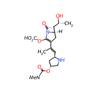 CNC(=O)O[C@H]1CN[C@H](C=C(C)C2=C(OC(=O)O)N3C(=O)[C@H]([C@@H](C)O)[C@H]3C2)C1